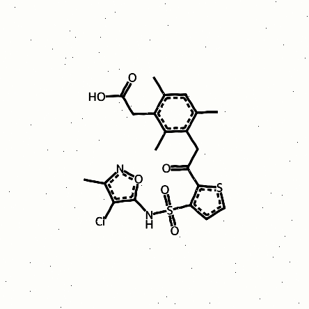 Cc1cc(C)c(CC(=O)c2sccc2S(=O)(=O)Nc2onc(C)c2Cl)c(C)c1CC(=O)O